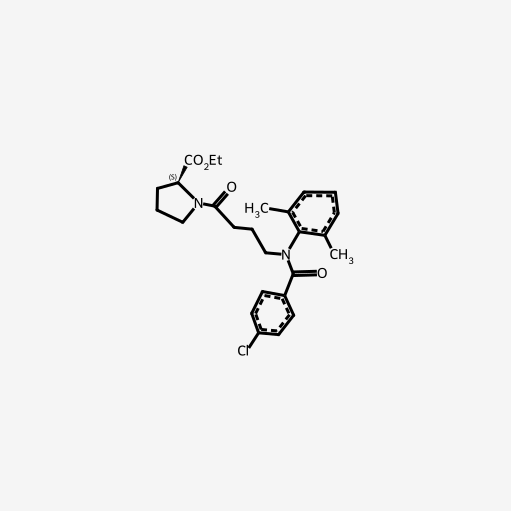 CCOC(=O)[C@@H]1CCCN1C(=O)CCCN(C(=O)c1ccc(Cl)cc1)c1c(C)cccc1C